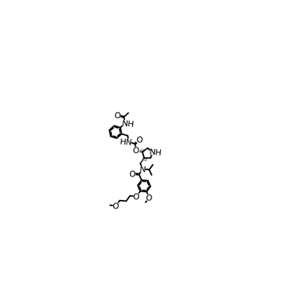 COCCCOc1cc(C(=O)N(C[C@@H]2CNC[C@H]2OC(=O)NCc2ccccc2NC(C)=O)C(C)C)ccc1OC